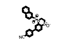 N#Cc1ccc(-c2ccc3c(c2)N(S(=O)(=O)c2ccc4ccccc4c2)CC[S+]3[O-])cc1